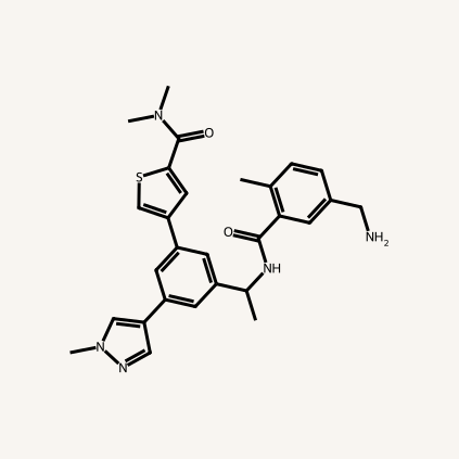 Cc1ccc(CN)cc1C(=O)NC(C)c1cc(-c2csc(C(=O)N(C)C)c2)cc(-c2cnn(C)c2)c1